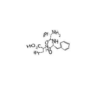 CC(C)C[C@H](NC(=O)[C@H](Cc1ccccc1)NC(=O)[C@@H](N)C(C)C)C(=O)O